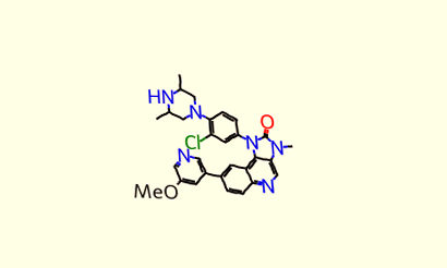 COc1cncc(-c2ccc3ncc4c(c3c2)n(-c2ccc(N3CC(C)NC(C)C3)c(Cl)c2)c(=O)n4C)c1